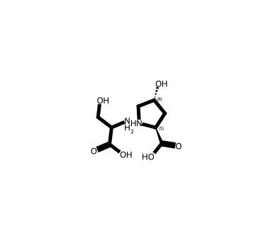 NC(CO)C(=O)O.O=C(O)[C@@H]1C[C@@H](O)CN1